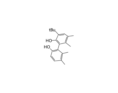 Cc1ccc(O)c(-c2c(C)c(C)cc(C(C)(C)C)c2O)c1C